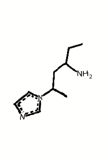 CCC(N)CC(C)n1ccnc1